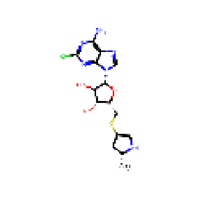 Nc1nc(Cl)nc2c1ncn2[C@@H]1O[C@H](CS[C@H]2CN[C@H](C(=O)O)C2)[C@H](O)[C@H]1O